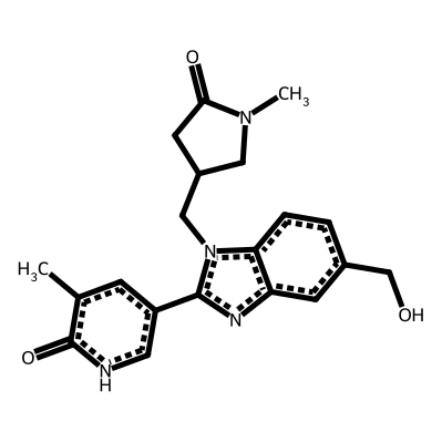 Cc1cc(-c2nc3cc(CO)ccc3n2CC2CC(=O)N(C)C2)c[nH]c1=O